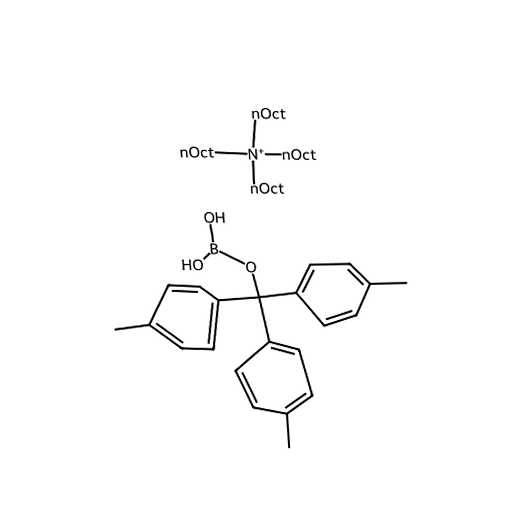 CCCCCCCC[N+](CCCCCCCC)(CCCCCCCC)CCCCCCCC.Cc1ccc(C(OB(O)O)(c2ccc(C)cc2)c2ccc(C)cc2)cc1